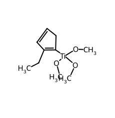 CCC1=[C]([Ti]([O]C)([O]C)[O]C)CC=C1